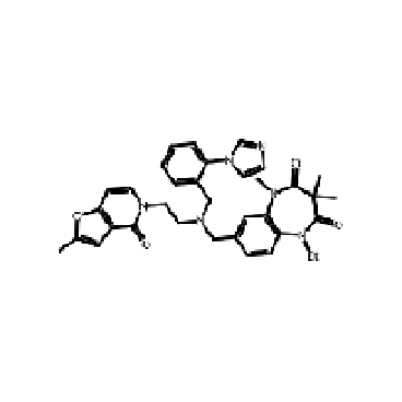 CCN1C(=O)C(C)(C)C(=O)N(C)c2cc(CN(CCn3ccc4oc(C)cc4c3=O)Cc3ccccc3-n3ccnc3)ccc21